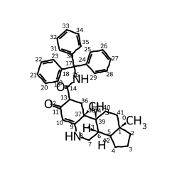 C[C@@]12CCC[C@H]1[C@@H]1CNC3=CC(=O)C(C(=O)NC(c4ccccc4)(c4ccccc4)c4ccccc4)C[C@]3(C)[C@@H]1CC2